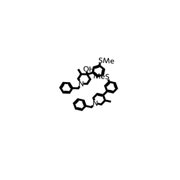 CSc1cccc(C2(O)CCN(Cc3ccccc3)CC2C)c1.CSc1cccc(C2=CCN(Cc3ccccc3)CC2C)c1